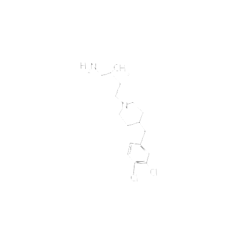 C[C@@H](CN)CCN1CCC(Cc2ccc(Cl)c(Cl)c2)CC1